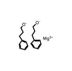 [Mg+2].[O-]CCCc1ccccc1.[O-]CCCc1ccccc1